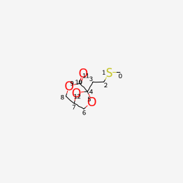 CSCCC12OCC(COC1=O)O2